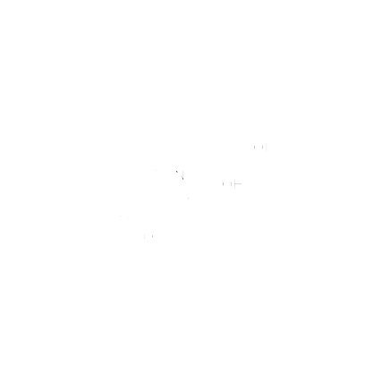 COC1(OC)CC(C)(C)N(CC(O)CO)C(C)(C)C1